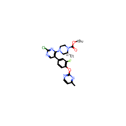 CC[C@@H]1CN(c2nc(Cl)ncc2-c2ccc(Oc3nccc(C)n3)c(F)c2)CCN1C(=O)OC(C)(C)C